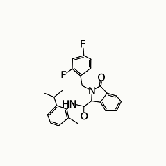 Cc1cccc(C(C)C)c1NC(=O)C1c2ccccc2C(=O)N1Cc1ccc(F)cc1F